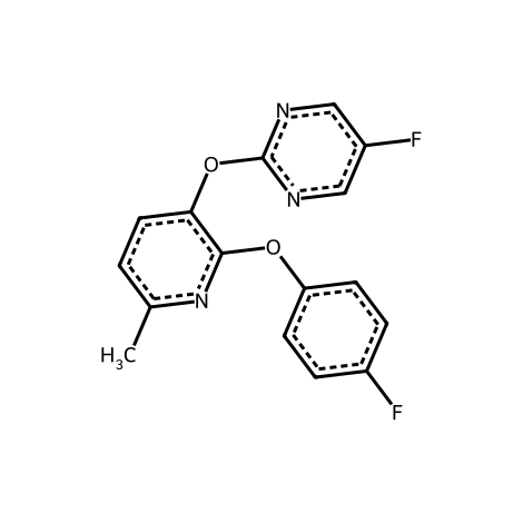 Cc1ccc(Oc2ncc(F)cn2)c(Oc2ccc(F)cc2)n1